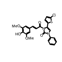 COc1cc(C=CC(=O)n2c(-c3ccc(Cl)s3)cn(-c3ccccc3)c2=O)cc(OC)c1O